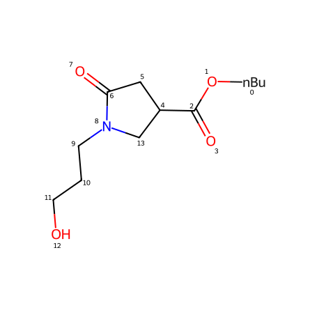 CCCCOC(=O)C1CC(=O)N(CCCO)C1